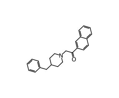 O=C(CN1CCC(Cc2ccccc2)CC1)c1ccc2ccccc2c1